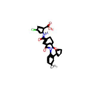 Cc1ccc(N2C(=O)c3ccc(C(=O)NC4C=C(Cl)C=CC4C(=O)O)cc3C2=O)c(-c2ccccc2)c1